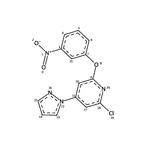 O=[N+]([O-])c1cccc(Oc2cc(-n3cccn3)cc(Cl)n2)c1